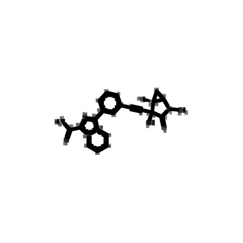 CN1C(=O)[C@](O)(C#Cc2cccc(-c3nc(C(N)=O)n4ccccc34)c2)[C@H]2CC21